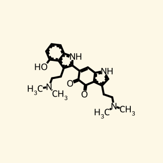 CN(C)CCc1c[nH]c2c1C(=O)C(=O)C(c1[nH]c3cccc(O)c3c1CCN(C)C)=C2